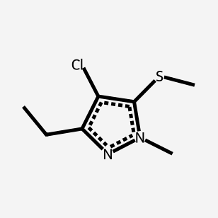 CCc1nn(C)c(SC)c1Cl